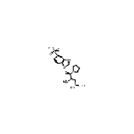 CCCC[C@H](CN(O)C=O)C(=O)N1CCC[C@H]1c1nc2cc(S(N)(=O)=O)ccc2o1